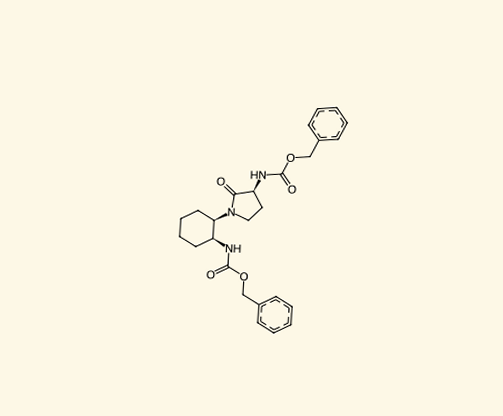 O=C(N[C@H]1CCN([C@@H]2CCCC[C@@H]2NC(=O)OCc2ccccc2)C1=O)OCc1ccccc1